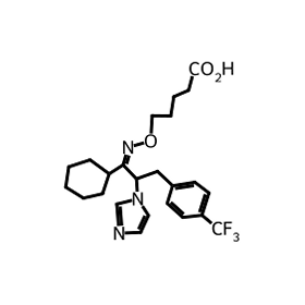 O=C(O)CCCCON=C(C1CCCCC1)C(Cc1ccc(C(F)(F)F)cc1)n1ccnc1